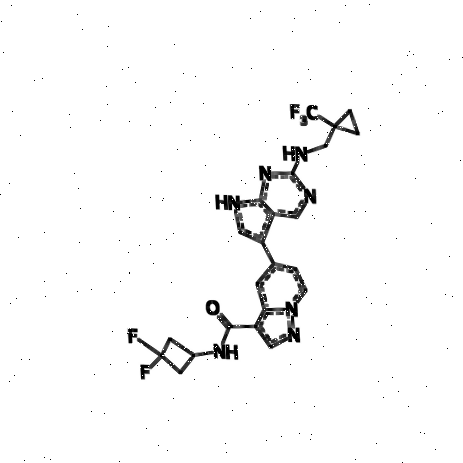 O=C(NC1CC(F)(F)C1)c1cnn2ccc(-c3c[nH]c4nc(NCC5(C(F)(F)F)CC5)ncc34)cc12